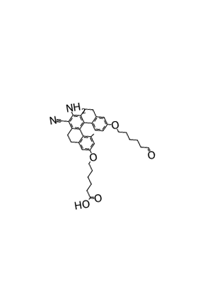 Cc1cc(OCCCCCC(=O)O)cc2c1-c1c(c(C#N)c(N)c3c1-c1ccc(OCCCCCC=O)cc1CC3)CC2